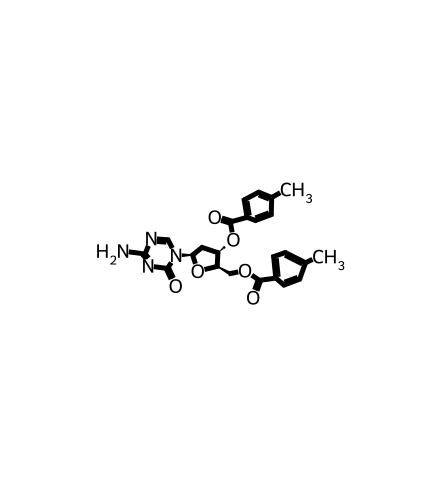 Cc1ccc(C(=O)OC[C@H]2O[C@@H](n3cnc(N)nc3=O)C[C@@H]2OC(=O)c2ccc(C)cc2)cc1